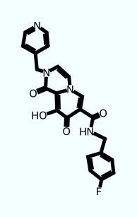 O=C(NCc1ccc(F)cc1)c1cn2ccn(Cc3ccncc3)c(=O)c2c(O)c1=O